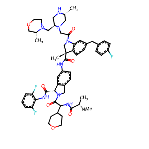 CN[C@@H](C)C(=O)NC(C(=O)N1Cc2ccc(NC(=O)[C@]3(C)CN(C(=O)CN4C[C@@H](C)NC[C@@H]4CN4CCOC[C@H]4C)c4cc(Cc5ccc(F)cc5)ccc43)cc2[C@H]1C(=O)Nc1c(F)cccc1F)C1CCOCC1